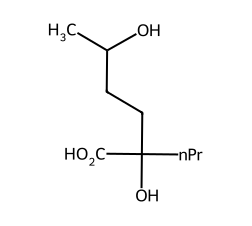 CCCC(O)(CCC(C)O)C(=O)O